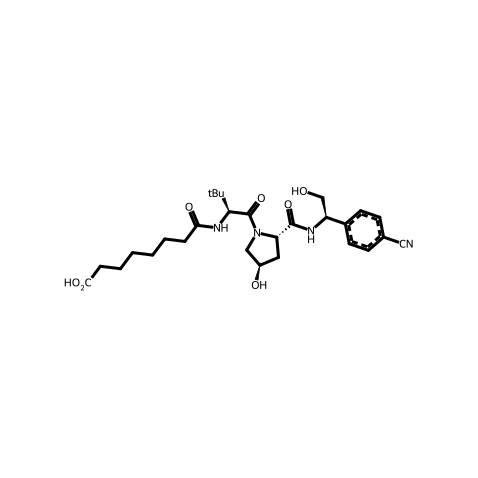 CC(C)(C)[C@H](NC(=O)CCCCCCC(=O)O)C(=O)N1C[C@H](O)C[C@H]1C(=O)N[C@@H](CO)c1ccc(C#N)cc1